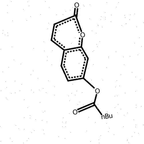 CCCCC(=O)Oc1ccc2ccc(=O)oc2c1